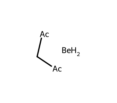 CC(=O)CC(C)=O.[BeH2]